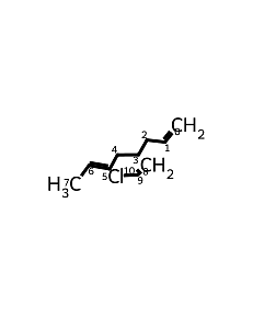 C=CCCCC=CC.C=CCl